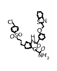 NC(=O)COc1ccc(CCCS(=O)(=O)c2ccc(Cl)cc2)cc1NC(=O)c1cccc(OCc2nc3ccccc3s2)c1